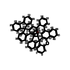 c1ccc2c(c1)Oc1c(cc(-c3ccccc3-c3ccc4c(c3)C3(c5ccccc5-c5ccccc53)c3ccccc3-4)c3ccccc13)C21c2ccccc2-c2ccccc21